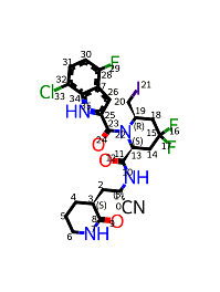 N#C[C@H](C[C@@H]1CCCNC1=O)NC(=O)[C@@H]1CC(F)(F)C[C@H](CI)N1C(=O)c1cc2c(F)ccc(Cl)c2[nH]1